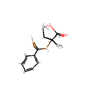 CCC(C)(SC(=S)c1ccccc1)C(=O)O